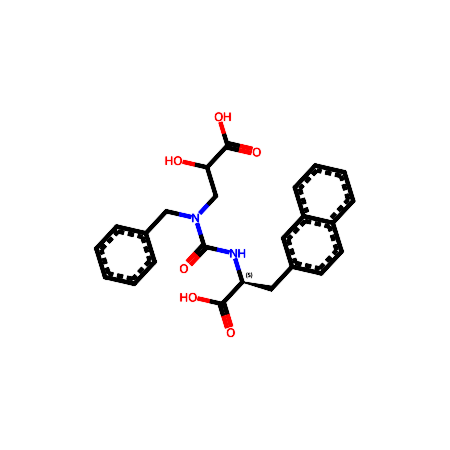 O=C(O)C(O)CN(Cc1ccccc1)C(=O)N[C@@H](Cc1ccc2ccccc2c1)C(=O)O